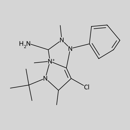 CC1C(Cl)=C2N(c3ccccc3)N(C)C(N)[N+]2(C)N1C(C)(C)C